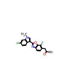 CC(C)C(=O)Cc1ccc2nc(-c3cn(C)c4cc(F)ccc34)oc2c1F